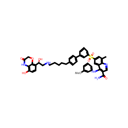 COc1cccc(Nc2c(C(N)=O)cnc3c(C)cc(S(=O)(=O)c4cccc(-c5ccc(CCCCCNC[C@H](O)c6ccc(O)c7c6OCC(=O)N7)cc5)c4)cc23)c1